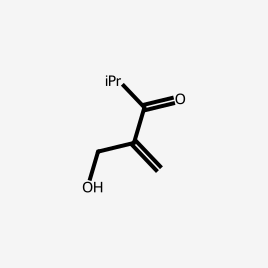 C=C(CO)C(=O)C(C)C